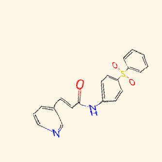 O=C(C=Cc1cccnc1)Nc1ccc(S(=O)(=O)c2ccccc2)cc1